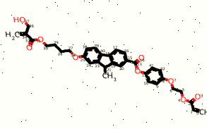 C=CC(=O)OCCOc1ccc(OC(=O)c2ccc3c(c2)C(C)c2cc(OCCCCOC(=O)C(=C)CO)ccc2-3)cc1